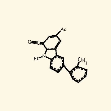 CCN1c2ccc(-c3ccccc3C)cc2C2=CC(C(C)=O)=CC(=C=O)C21